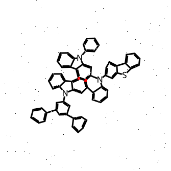 c1ccc(-c2cc(-c3ccccc3)cc(-n3c4ccccc4c4ccc(-c5ccccc5N(c5ccc6c(c5)sc5ccccc56)c5ccc6c7ccccc7n(-c7ccccc7)c6c5)cc43)c2)cc1